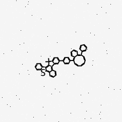 CC1(C)c2ccc(-c3ccc(-c4ccccccc(-c5ccccc5)c5ccccc45)cc3)cc2-c2c1c1c3ccccc3sc1c1ccccc21